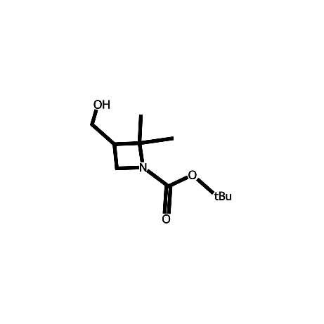 CC(C)(C)OC(=O)N1CC(CO)C1(C)C